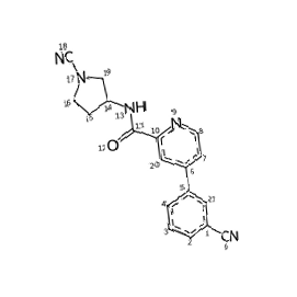 N#Cc1cccc(-c2ccnc(C(=O)NC3CCN(C#N)C3)c2)c1